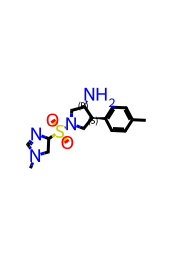 Cc1ccc([C@H]2CN(S(=O)(=O)C3CN(C)C=N3)C[C@@H]2N)cc1